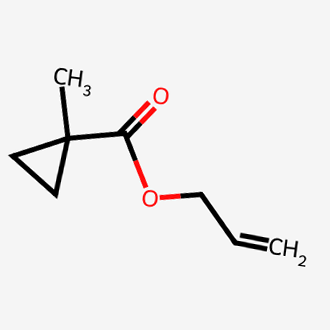 C=CCOC(=O)C1(C)CC1